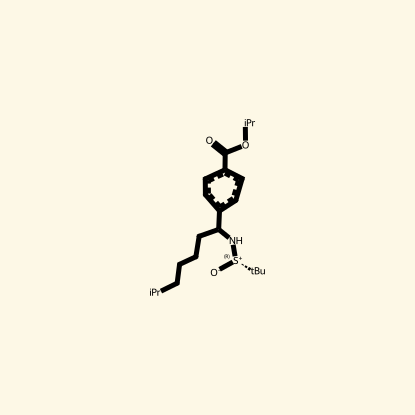 CC(C)CCCCC(N[S@@+]([O-])C(C)(C)C)c1ccc(C(=O)OC(C)C)cc1